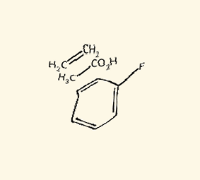 C=C.CC(=O)O.Fc1ccccc1